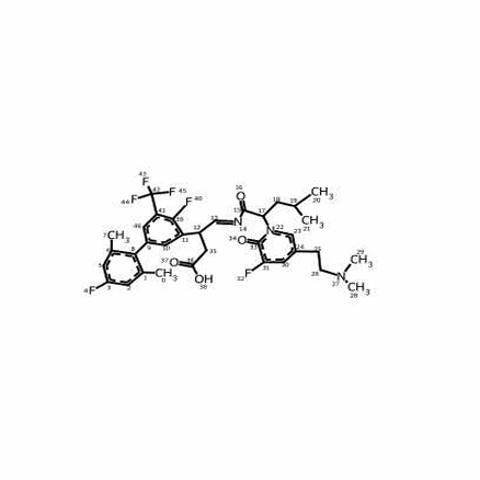 Cc1cc(F)cc(C)c1-c1cc(C(/C=N/C(=O)C(CC(C)C)n2cc(CCN(C)C)cc(F)c2=O)CC(=O)O)c(F)c(C(F)(F)F)c1